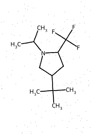 CC(C)N1CC(C(C)(C)C)CC1C(F)(F)F